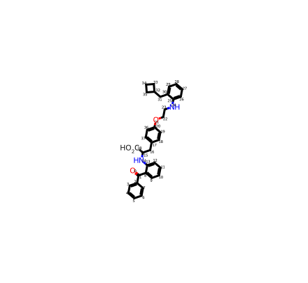 O=C(c1ccccc1)c1ccccc1NC(Cc1ccc(OCCNc2ccccc2CC2CCC2)cc1)C(=O)O